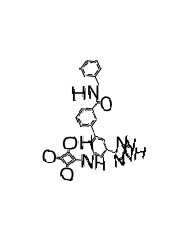 O=C(NCc1ccccc1)c1cccc(-c2cc(Nc3c(O)c(=O)c3=O)cc(-c3nn[nH]n3)c2)c1